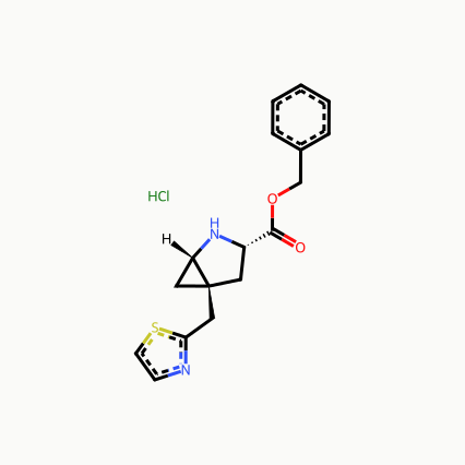 Cl.O=C(OCc1ccccc1)[C@@H]1C[C@]2(Cc3nccs3)C[C@@H]2N1